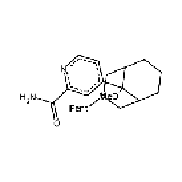 CCCC(C)N1CC2CCCC(C1)C2(OC)c1ccnc(C(N)=O)c1